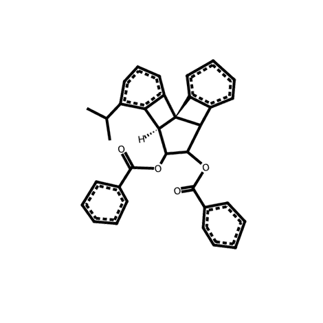 CC(C)c1cccc2c1[C@@H]1C(OC(=O)c3ccccc3)C(OC(=O)c3ccccc3)C3c4ccccc4[C@@]231